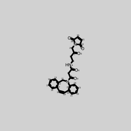 O=C(CCNC(=O)CC(=O)N1Cc2ccccc2C#Cc2ccccc21)CN1C(=O)C=CC1=O